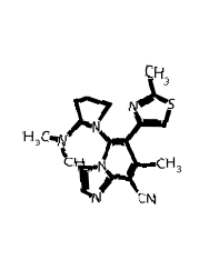 Cc1nc(-c2c(C)c(C#N)c3nccn3c2N2CCCC2N(C)C)cs1